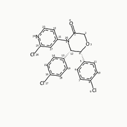 O=C1CO[C@H](c2ccc(Cl)cc2)[C@H](c2ccc(Cl)cc2)N1c1ccnc(Cl)c1